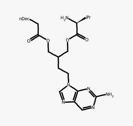 CCCCCCCCCCCC(=O)OCC(CCn1cnc2cnc(N)nc21)COC(=O)[C@@H](N)C(C)C